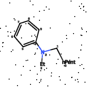 [CH2]CCCCCN(CC)c1ccccc1